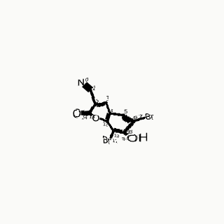 N#Cc1cc2cc(Br)c(O)c(Br)c2oc1=O